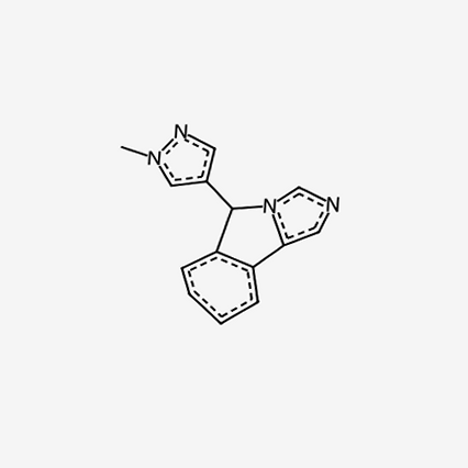 Cn1cc(C2c3ccccc3-c3cncn32)cn1